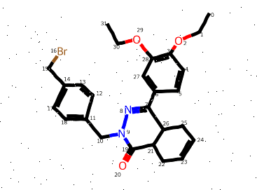 CCOc1ccc(C2=NN(Cc3ccc(CBr)cc3)C(=O)C3CC=CCC23)cc1OCC